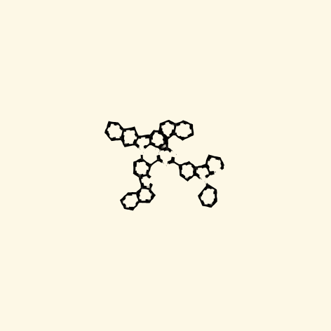 c1ccc(-n2c3ccccc3c3cc(-c4nc(-c5cccc6ccccc56)nc(-c5c(-n6c7ccccc7c7cc8ccccc8cc76)ccc6c5oc5ccc7ccccc7c56)n4)ccc32)cc1